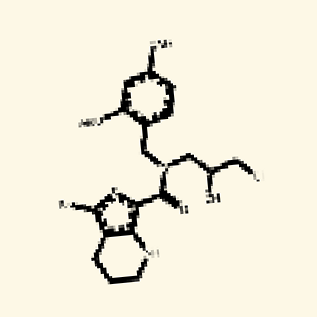 COc1ccc(CN(CC(O)CCl)C(=O)c2sc(Br)c3c2NCCC3)c(OC)c1